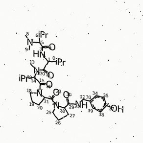 CC(C)C(NC(=O)C(C(C)C)N(C)C)C(=O)N(C)C(C(=O)N1CCCC1C(=O)N1CCCC1C(=O)NCc1ccc(O)cc1)C(C)C